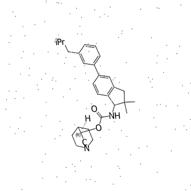 CC(C)Cc1cccc(-c2ccc3c(c2)CC(C)(C)C3NC(=O)O[C@H]2CN3CCC2CC3)c1